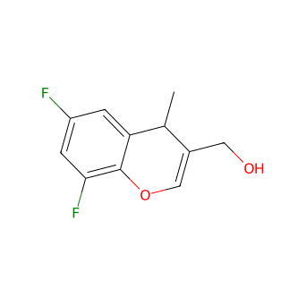 CC1C(CO)=COc2c(F)cc(F)cc21